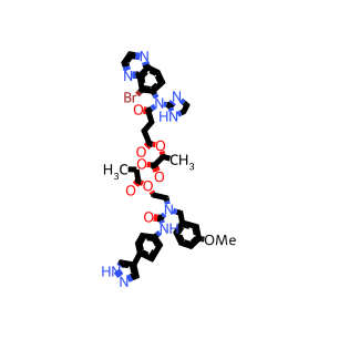 COc1cccc(CN(CCOC(=O)C(C)OC(=O)C(C)OC(=O)CCC(=O)N(C2=NCCN2)c2ccc3nccnc3c2Br)C(=O)Nc2ccc(-c3cn[nH]c3)cc2)c1